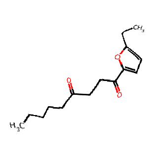 CCCCCC(=O)CCC(=O)c1ccc(CC)o1